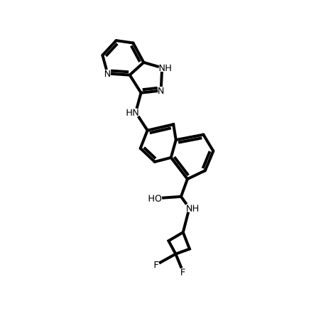 OC(NC1CC(F)(F)C1)c1cccc2cc(Nc3n[nH]c4cccnc34)ccc12